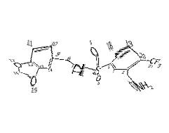 Nc1cc(S(=O)(=O)NCc2ccc3c(c2)OCO3)ccc1C(F)(F)F